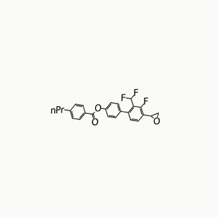 CCCc1ccc(C(=O)Oc2ccc(-c3ccc(C4CO4)c(F)c3C(F)F)cc2)cc1